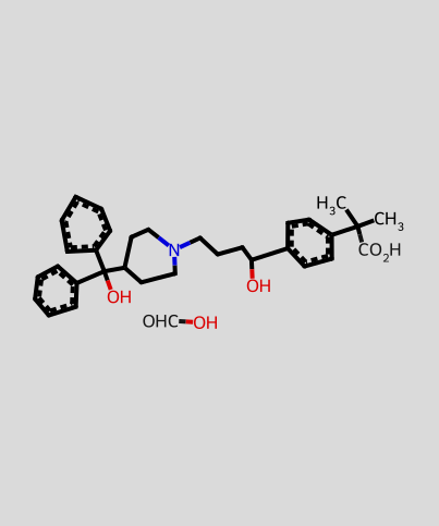 CC(C)(C(=O)O)c1ccc(C(O)CCCN2CCC(C(O)(c3ccccc3)c3ccccc3)CC2)cc1.O=CO